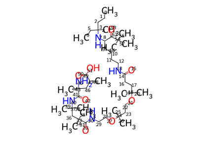 CCCC(C)(CC)N[C@H](CCCCNC(=O)CCC(C)(C)OCCC(C)(C)OCCNC(=O)C(C)(C)CC(C)(C)NC(=O)C(C)(N)CC(C)C(=O)O)C(=O)C(C)(C)C